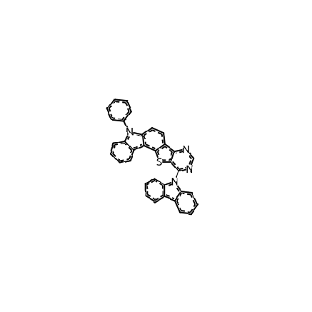 c1ccc(-n2c3ccccc3c3c4sc5c(-n6c7ccccc7c7ccccc76)ncnc5c4ccc32)cc1